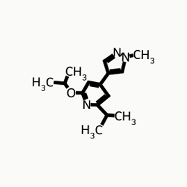 CC(C)Oc1cc(-c2cnn(C)c2)cc(C(C)C)n1